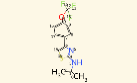 CC(C)Nc1nc(-c2ccc(OC(F)(F)F)cc2)cs1